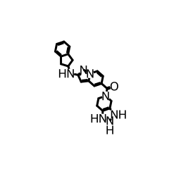 O=C(c1ccn2nc(NC3Cc4ccccc4C3)cc2c1)N1CCC2=C(C1)NNN2